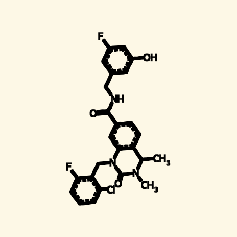 CC1c2ccc(C(=O)NCc3cc(O)cc(F)c3)cc2N(Cc2c(F)cccc2Cl)C(=O)N1C